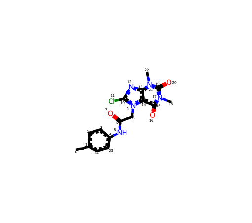 Cc1ccc(NC(=O)Cn2c(Cl)nc3c2c(=O)n(C)c(=O)n3C)cc1